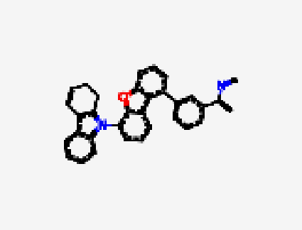 C=NC(=C)c1cccc(-c2cccc3oc4c(-n5c6c(c7ccccc75)C=CCC6)cccc4c23)c1